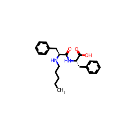 CCCCCN[C@@H](Cc1ccccc1)C(=O)N[C@@H](Cc1ccccc1)C(=O)O